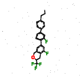 CCCc1ccc(-c2ccc(-c3cc(F)c4c(c3)COC(C(F)(F)F)C4)c(F)c2)cc1